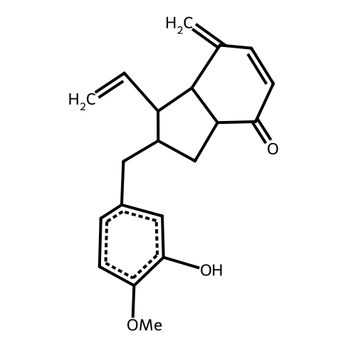 C=CC1C(Cc2ccc(OC)c(O)c2)CC2C(=O)C=CC(=C)C21